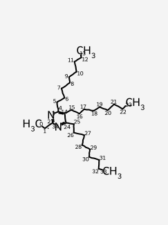 C[CH]c1nc(CCCCCCCCC)c(CCCCCCCCC)c(CCCCCCCCC)n1